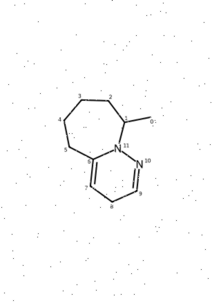 CC1CCCCC2=CCC=NN21